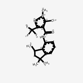 CC1CC(C)(C)c2cccc(NC(=O)c3c(C(F)(F)F)nn(C)c3Cl)c21